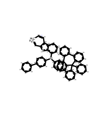 C=Cc1sc2c(N(c3ccc(-c4ccccc4)cc3)c3ccc(-c4ccccc4C4(c5ccccc5)c5ccccc5-c5ccccc5-c5ccccc54)cc3)cccc2c1/C=C\C